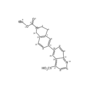 CC(C)(C)OC(=O)N1CCc2cc(-c3ccc4nccc(C(=O)O)c4c3)ccc2C1